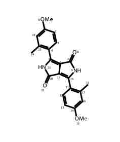 COc1ccc(C2=C3C(=O)NC(c4ccc(OC)cc4C)=C3C(=O)N2)c(C)c1